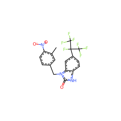 Cc1cc(Cn2c(=O)[nH]c3ccc(C(F)(C(F)(F)F)C(F)(F)F)cc32)ccc1[N+](=O)[O-]